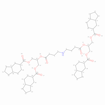 O=C(CCCNCCCC(=O)OC(COC(=O)C1CCC2CCCC2C1)COC(=O)C1CCC2CCCC2C1)OC(COC(=O)C1CCC2CCCC2C1)COC(=O)C1CCC2CCCC2C1